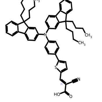 CCCCC1(CCCC)c2ccccc2-c2ccc(N(c3ccc(-c4ccc(/C=C(\C#N)C(=O)O)s4)cc3)c3ccc4c(c3)C(CCCC)(CCCC)c3ccccc3-4)cc21